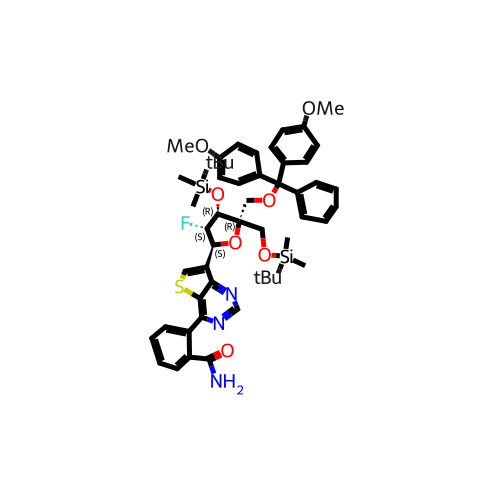 COc1ccc(C(OC[C@]2(CO[Si](C)(C)C(C)(C)C)O[C@@H](c3csc4c(-c5ccccc5C(N)=O)ncnc34)[C@H](F)[C@@H]2O[Si](C)(C)C(C)(C)C)(c2ccccc2)c2ccc(OC)cc2)cc1